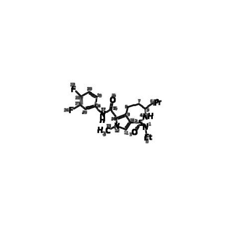 CCN=S1(=O)NC(C(C)C)CCc2c1cn(C)c2C(=O)Nc1ccc(F)c(F)c1